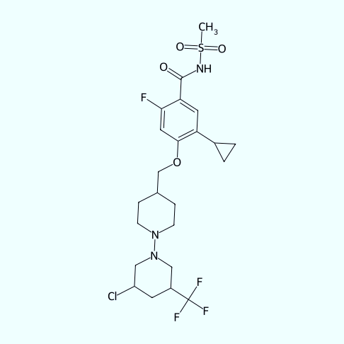 CS(=O)(=O)NC(=O)c1cc(C2CC2)c(OCC2CCN(N3CC(Cl)CC(C(F)(F)F)C3)CC2)cc1F